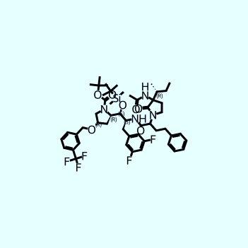 CC[C@@H](C)C1(NC(C)=O)CCN(C(CCc2ccccc2)C(=O)N[C@@H](Cc2cc(F)cc(F)c2)[C@H](O[Si](C)(C)C(C)(C)C)[C@H]2C[C@@H](OCc3cccc(C(F)(F)F)c3)CN2C(=O)OC(C)(C)C)C1=O